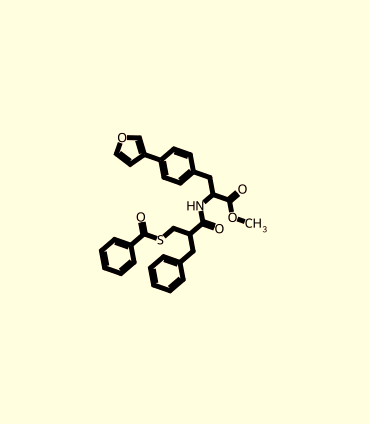 COC(=O)C(Cc1ccc(-c2ccoc2)cc1)NC(=O)C(CSC(=O)c1ccccc1)Cc1ccccc1